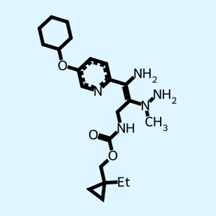 CCC1(COC(=O)NC/C(=C(/N)c2ccc(OC3CCCCC3)cn2)N(C)N)CC1